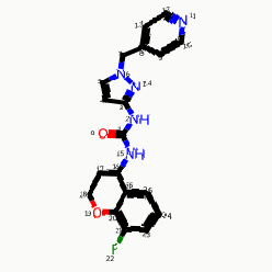 O=C(Nc1ccn(Cc2ccncc2)n1)NC1CCOc2c(F)cccc21